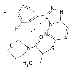 CCC(Sc1ccc2nnc(-c3ccc(F)c(F)c3)n2n1)C(=O)N1CCCCC1